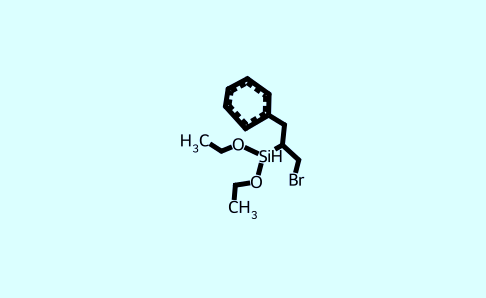 CCO[SiH](OCC)C(CBr)Cc1ccccc1